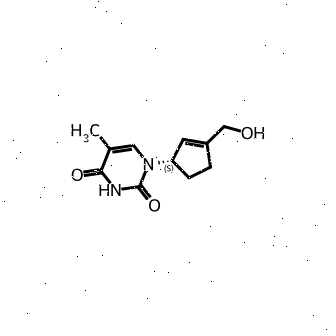 Cc1cn([C@@H]2C=C(CO)CC2)c(=O)[nH]c1=O